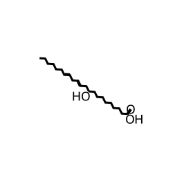 CCCCCCC=CCC=CCC(O)CCCCCCCCC(=O)O